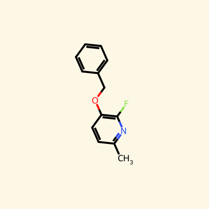 Cc1ccc(OCc2ccccc2)c(F)n1